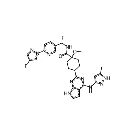 CO[C@]1(C(=O)N[C@@H](C)c2ccc(-n3cc(F)cn3)nc2)CC[C@H](c2nc(Nc3cc(C)[nH]n3)c3cc[nH]c3n2)CC1